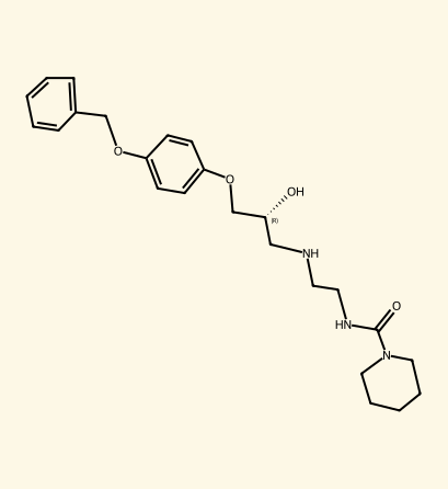 O=C(NCCNC[C@@H](O)COc1ccc(OCc2ccccc2)cc1)N1CCCCC1